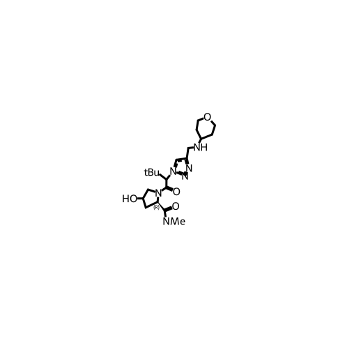 CNC(=O)[C@H]1CC(O)CN1C(=O)C(n1cc(CNC2CCOCC2)nn1)C(C)(C)C